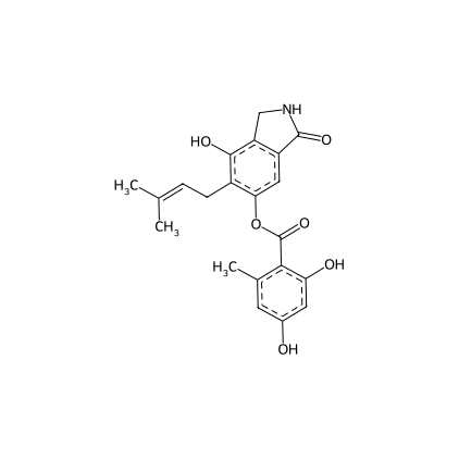 CC(C)=CCc1c(OC(=O)c2c(C)cc(O)cc2O)cc2c(c1O)CNC2=O